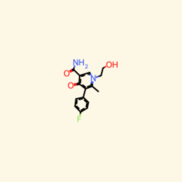 Cc1c(-c2ccc(F)cc2)c(=O)c(C(N)=O)cn1CCO